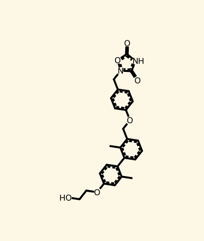 Cc1cc(OCCO)ccc1-c1cccc(COc2ccc(Cn3oc(=O)[nH]c3=O)cc2)c1C